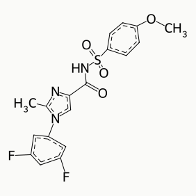 COc1ccc(S(=O)(=O)NC(=O)c2cn(-c3cc(F)cc(F)c3)c(C)n2)cc1